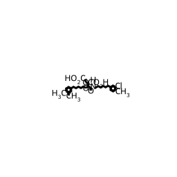 Cc1ccc(CCCCCOC(C(=O)NCCCCCCc2ccc(C)c(Cl)c2)C(OCC(=O)O)C(=O)O)cc1C